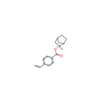 C=Cc1ccc(C(=O)OC2(C)CC3CCC2C3)cc1